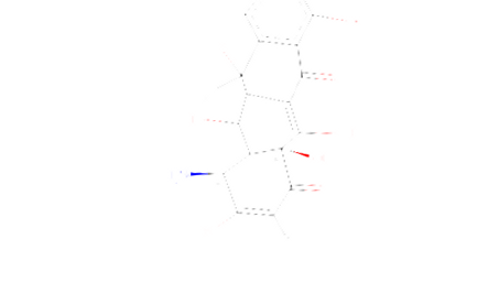 CC(=O)C1=C(O)[C@@H](N)C2C(O)C3C(=C(O)[C@]2(O)C1=O)C(=O)c1c(O)cccc1C3(C)O